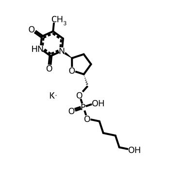 Cc1cn([C@H]2CC[C@H](COP(=O)(O)OCCCCO)O2)c(=O)[nH]c1=O.[K]